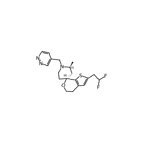 C[C@H]1C[C@@]2(CCN1Cc1ccnnc1)OCCc1cc(CC(F)F)sc12